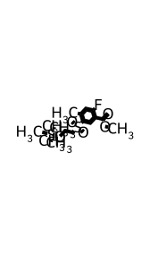 COC(=O)c1cc(S(=O)(=O)CCO[Si](C)(C)C(C)(C)C)c(C)cc1F